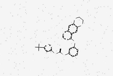 CC(C)(C)c1cc(NC(=O)Nc2cccc(Sc3ncnc4cc5c(cc34)OCCO5)c2)no1.Cl